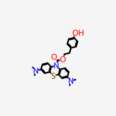 CN(C)c1ccc2c(c1)Sc1cc(N(C)C)ccc1N2C(=O)OCCc1ccc(O)cc1